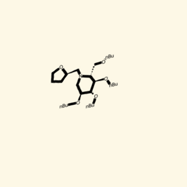 CCCCOC[C@@H]1[C@@H](OCCCC)[C@H](OCCCC)[C@@H](OCCCC)CN1C[C@H]1CCCO1